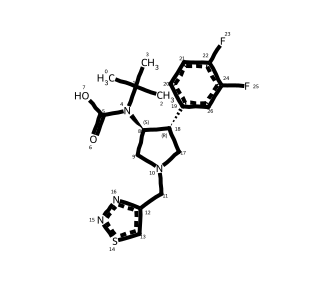 CC(C)(C)N(C(=O)O)[C@@H]1CN(Cc2csnn2)C[C@H]1c1ccc(F)c(F)c1